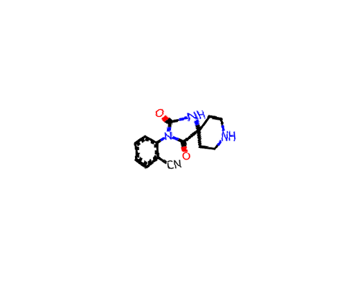 N#Cc1ccccc1N1C(=O)NC2(CCNCC2)C1=O